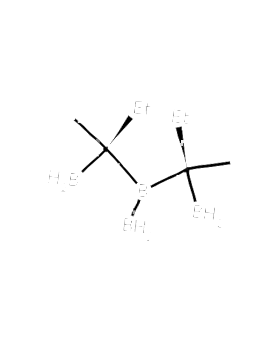 BB([C@@](B)(C)CC)[C@](B)(C)CC